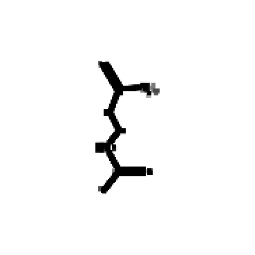 C=C(N)CCNC(C)=O